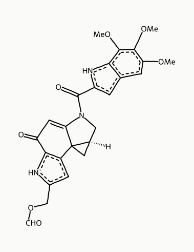 COc1cc2cc(C(=O)N3C[C@H]4CC45C3=CC(=O)c3[nH]c(COC=O)cc35)[nH]c2c(OC)c1OC